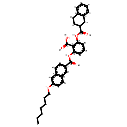 CCCCCCCOc1ccc2cc(C(=O)Oc3cccc(OC(=O)C4CCc5ccccc5C4)c3C(=O)O)ccc2c1